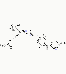 COC(=O)CC[C@@H]1C[C@@]2(CO2)[C@H](O)[C@@H](/C=C/C(C)=C/C[C@@H]2O[C@H](C)[C@H](NC(=O)/C=C\[C@H](C)OC(C)=O)C[C@@H]2C)O1